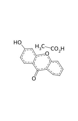 CC(=O)O.O=c1c2ccccc2oc2cc(O)ccc12